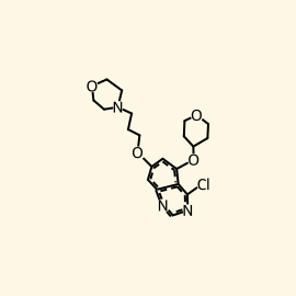 Clc1ncnc2cc(OCCCN3CCOCC3)cc(OC3CCOCC3)c12